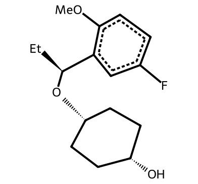 CC[C@H](O[C@H]1CC[C@@H](O)CC1)c1cc(F)ccc1OC